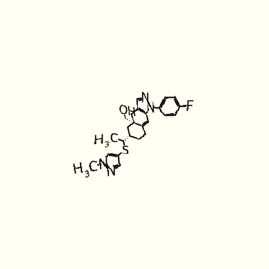 CC(Sc1cnn(C)c1)[C@H]1CCC2=Cc3c(cnn3-c3ccc(F)cc3)C[C@]2(CO)C1